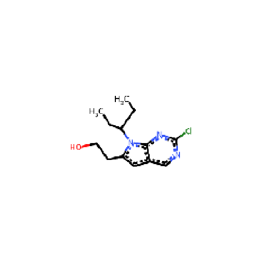 CCC(CC)n1c(CCO)cc2cnc(Cl)nc21